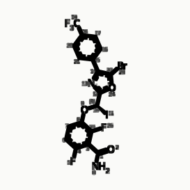 NC(=O)c1c(F)ccc(O[C@H](I)c2nc(-c3ccc(C(F)(F)F)cc3)c(Br)o2)c1F